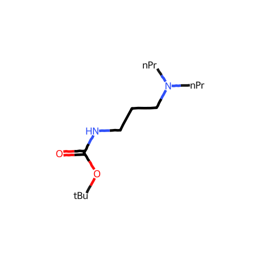 CCCN(CCC)CCCNC(=O)OC(C)(C)C